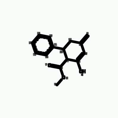 C=C1C=C(O)C(C(=O)OC)C(c2ccccc2)C1